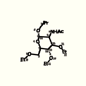 CCOCC1O[C@H](OC(C)C)C(NC(C)=O)C(OCC)[C@@H]1OCC